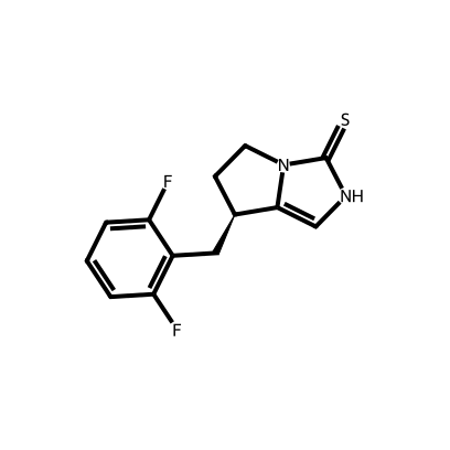 Fc1cccc(F)c1C[C@H]1CCn2c1c[nH]c2=S